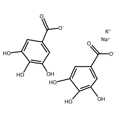 O=C([O-])c1cc(O)c(O)c(O)c1.O=C([O-])c1cc(O)c(O)c(O)c1.[K+].[Na+]